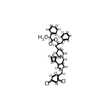 C[C@H](C(=O)OC(Cc1ccccc1)CC1CCN(CC2CN(Cc3ccc(Cl)cc3Cl)CC2c2ccsc2)CC1)c1ccccc1